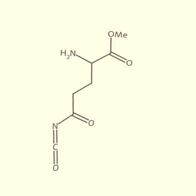 COC(=O)C(N)CCC(=O)N=C=O